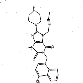 CC#CCn1c(N2CCNCC2)nc2c1c(=O)n(Cc1ccc(C#N)c3ccccc13)c(=O)n2C